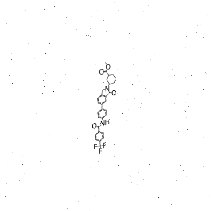 COC(=O)C1CCCC(N2Cc3ccc(-c4ccc(NC(=O)c5ccc(C(F)(F)F)cc5)cc4)cc3C2=O)C1